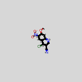 COc1cc2ncc(C#N)c(Cl)c2cc1[N+](=O)[O-]